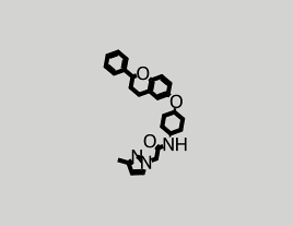 Cc1ccn(CC(=O)N[C@H]2CC[C@H](Oc3ccc4c(c3)CCC(c3ccccc3)O4)CC2)n1